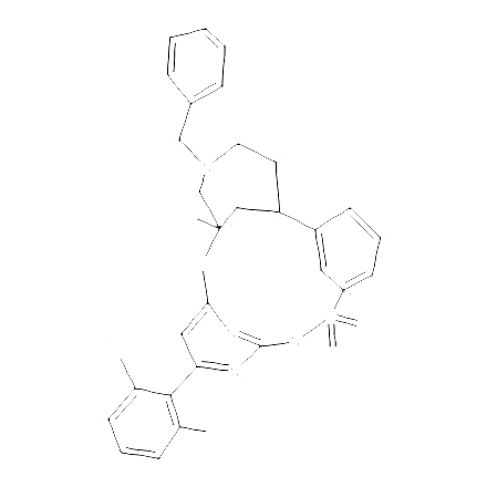 Cc1cccc(C)c1-c1cc2nc(n1)NS(=O)(=O)c1cccc(c1)C1CCN(Cc3ccccc3)CC(C)(C1)O2